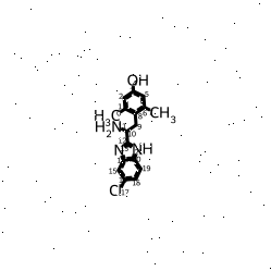 Cc1cc(O)cc(C)c1CC(N)c1nc2cc(Cl)ccc2[nH]1